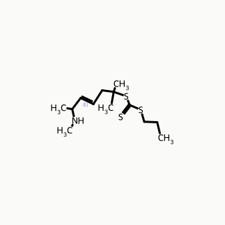 CCCSC(=S)SC(C)(C)C/C=C/C(C)NC